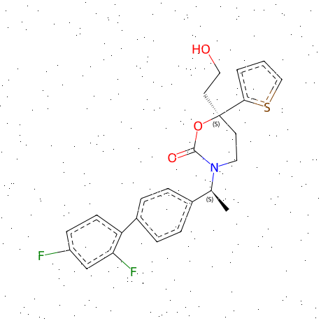 C[C@@H](c1ccc(-c2ccc(F)cc2F)cc1)N1CC[C@](CCO)(c2cccs2)OC1=O